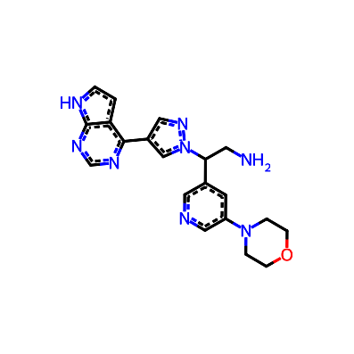 NCC(c1cncc(N2CCOCC2)c1)n1cc(-c2ncnc3[nH]ccc23)cn1